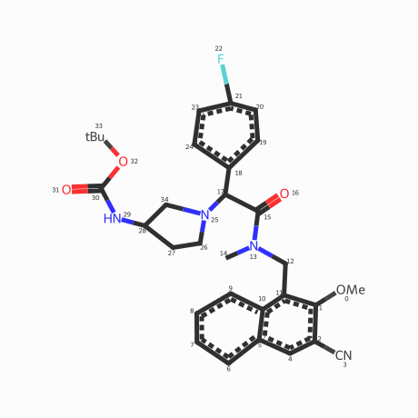 COc1c(C#N)cc2ccccc2c1CN(C)C(=O)C(c1ccc(F)cc1)N1CCC(NC(=O)OC(C)(C)C)C1